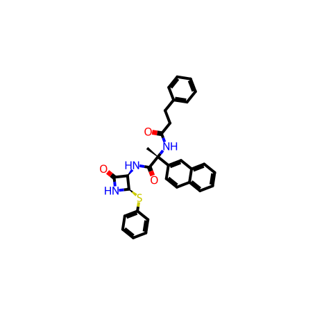 C[C@](NC(=O)CCc1ccccc1)(C(=O)N[C@@H]1C(=O)N[C@@H]1Sc1ccccc1)c1ccc2ccccc2c1